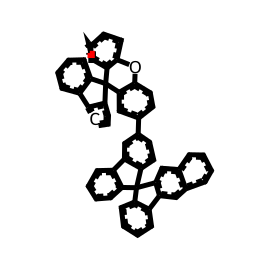 c1ccc2c(c1)-c1cc(-c3ccc4c(c3)C3(c5ccccc5-c5ccccc53)c3c(ccc5ccccc35)O4)ccc1C21c2ccccc2-c2cc3ccccc3cc21